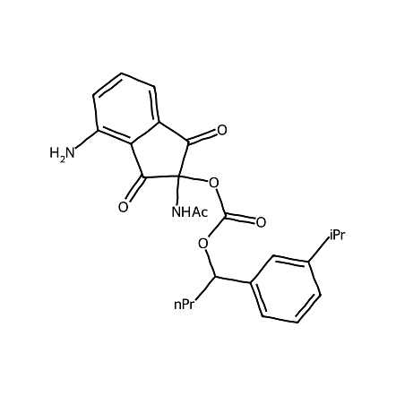 CCCC(OC(=O)OC1(NC(C)=O)C(=O)c2cccc(N)c2C1=O)c1cccc(C(C)C)c1